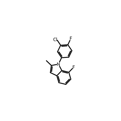 Cc1cc2cccc(F)c2n1-c1ccc(F)c(Cl)c1